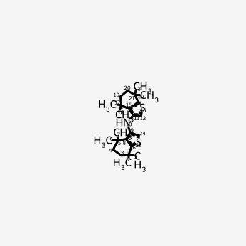 CC1(C)CCC(C)(C)c2c(Nc3csc4c3C(C)(C)CCC4(C)C)csc21